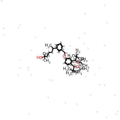 CC(CCCC(C)(C)O)c1cccc(COc2ccc(C(O[SiH](C)C)C(C)(C)C)c(C(O[SiH](C)C)C(C)(C)C)c2)c1